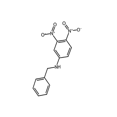 O=[N+]([O-])c1ccc(NCc2ccccc2)cc1[N+](=O)[O-]